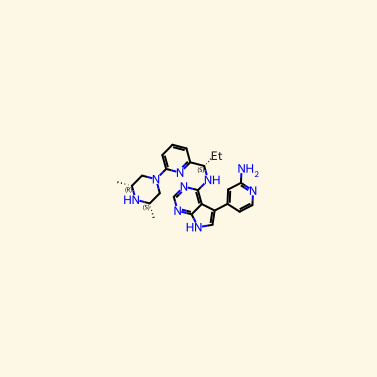 CC[C@H](Nc1ncnc2[nH]cc(-c3ccnc(N)c3)c12)c1cccc(N2C[C@@H](C)N[C@@H](C)C2)n1